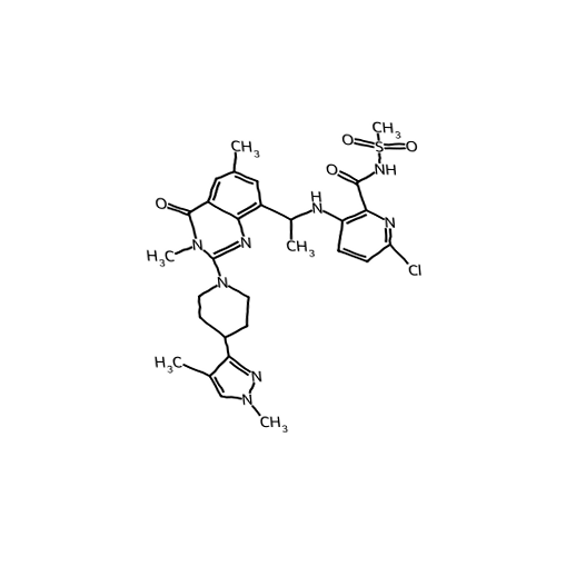 Cc1cc(C(C)Nc2ccc(Cl)nc2C(=O)NS(C)(=O)=O)c2nc(N3CCC(c4nn(C)cc4C)CC3)n(C)c(=O)c2c1